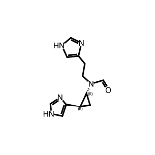 O=CN(CCc1c[nH]cn1)[C@@H]1C[C@H]1c1c[nH]cn1